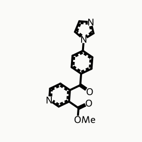 COC(=O)c1cnccc1C(=O)c1ccc(-n2ccnc2)cc1